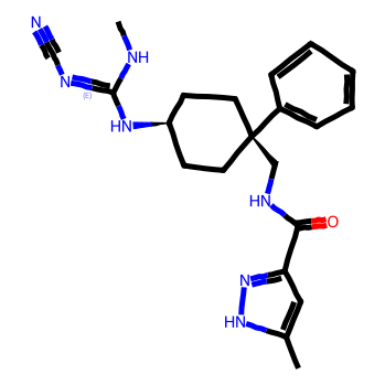 CN/C(=N\C#N)N[C@H]1CC[C@](CNC(=O)c2cc(C)[nH]n2)(c2ccccc2)CC1